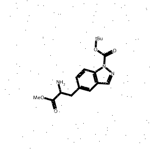 COC(=O)C(N)Cc1ccc2c(cnn2C(=O)OC(C)(C)C)c1